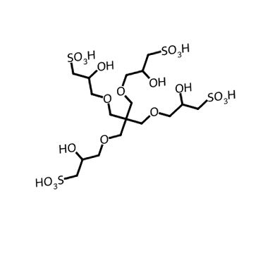 O=S(=O)(O)CC(O)COCC(COCC(O)CS(=O)(=O)O)(COCC(O)CS(=O)(=O)O)COCC(O)CS(=O)(=O)O